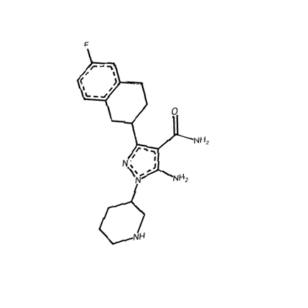 NC(=O)c1c(C2CCc3cc(F)ccc3C2)nn(C2CCCNC2)c1N